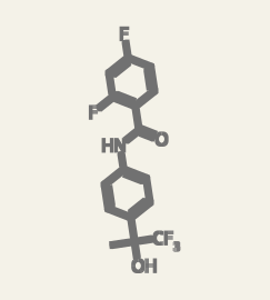 CC(O)(c1ccc(NC(=O)c2ccc(F)cc2F)cc1)C(F)(F)F